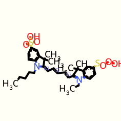 CCCCCN1/C(=C/C=C/C=C/C2=[N+](CC)c3ccc(SOOO)cc3C2(C)C)C(C)(C)c2cc(S(=O)(=O)O)ccc21